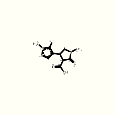 CN1CC(c2cnn(C)c2Cl)C(C(=O)O)C1=O